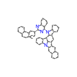 c1ccc2cc3c(cc2c1)c1cc2c4ccccc4n(-c4nc(-c5ccc6ccc7ccccc7c6c5)nc5ccccc45)c2c2c4ccccc4n3c12